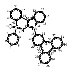 O=S1(c2ccccc2)=Nc2c(c3ccccc3n2-c2ccc3c4ccccc4c4ccccc4c3c2)-c2ccccc21